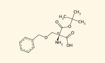 CC(C)(C)OC(=O)[C@@](N)(COCc1ccccc1)C(=O)O